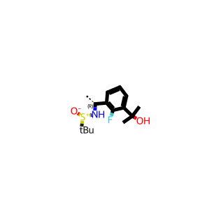 C[C@@H](N[S+]([O-])C(C)(C)C)c1cccc(C(C)(C)O)c1F